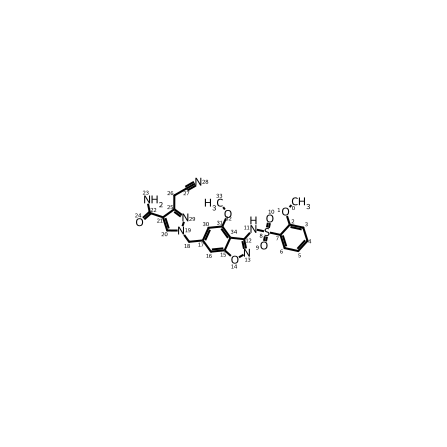 COc1ccccc1S(=O)(=O)Nc1noc2cc(Cn3cc(C(N)=O)c(CC#N)n3)cc(OC)c12